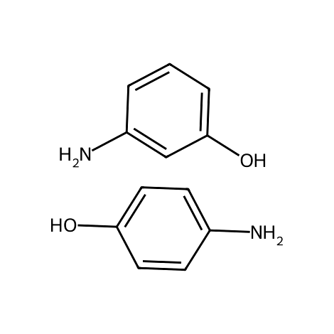 Nc1ccc(O)cc1.Nc1cccc(O)c1